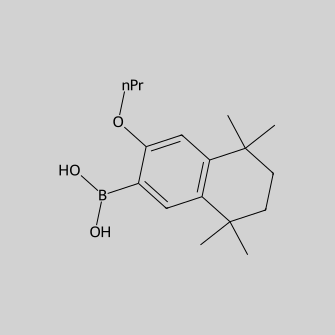 CCCOc1cc2c(cc1B(O)O)C(C)(C)CCC2(C)C